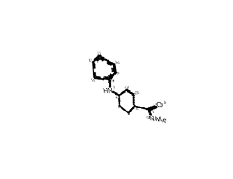 CNC(=O)C1CCC(Nc2ccccc2)CC1